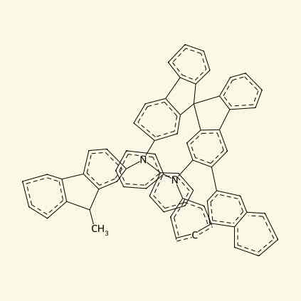 CC1c2ccccc2-c2ccc(N(c3ccccc3)c3ccc4c(c3)C3(c5ccccc5-4)c4ccccc4-c4cc(-c5ccc6ccccc6c5)c(N(c5ccccc5)c5ccccc5)cc43)cc21